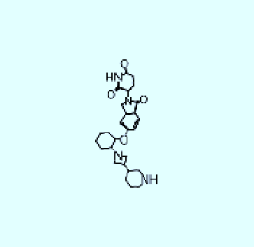 O=C1CCC(N2Cc3cc(O[C@@H]4CCCC[C@H]4N4CC(C5CCCNC5)C4)ccc3C2=O)C(=O)N1